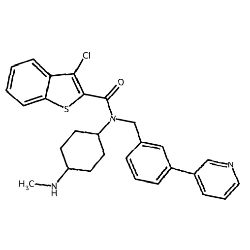 CNC1CCC(N(Cc2cccc(-c3cccnc3)c2)C(=O)c2sc3ccccc3c2Cl)CC1